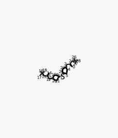 C=C(Cc1ccc(Sc2ccc(CC(=C)CC(C)(C)C)cc2)cc1)CC(C)(C)C